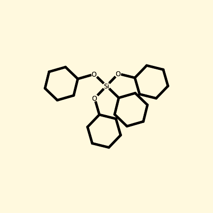 C1CCC(O[Si](OC2CCCCC2)(OC2CCCCC2)C2CCCCC2)CC1